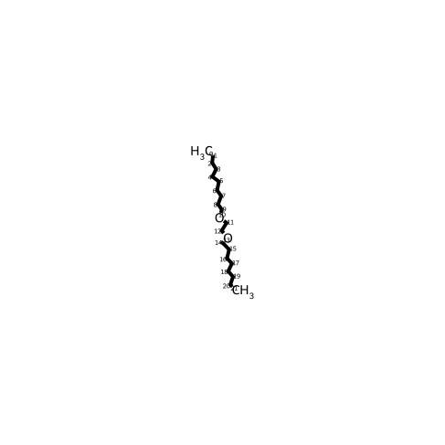 CCCCCCCCCCOCCOCCCCCCCC